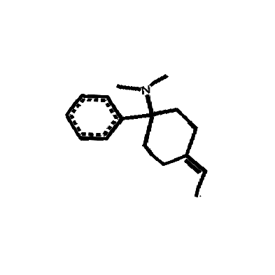 [CH2]C=C1CCC(c2ccccc2)(N(C)C)CC1